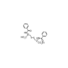 CCOC(=O)[C@H](CSSC[C@H](NC(=O)c1ccccc1)C(=O)O)NC(=O)c1ccccc1